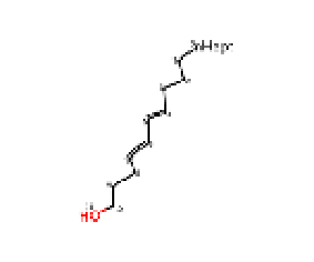 CCCCCCCCCC/C=C/C=C/CCCO